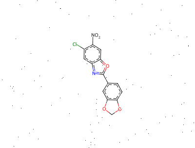 O=[N+]([O-])c1cc2oc(-c3ccc4c(c3)OCO4)nc2cc1Cl